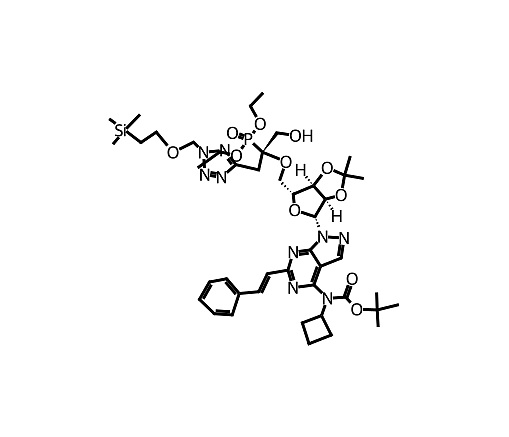 CCOP(=O)(OCC)[C@@](CO)(Cc1nnn(COCC[Si](C)(C)C)n1)OC[C@H]1O[C@@H](n2ncc3c(N(C(=O)OC(C)(C)C)C4CCC4)nc(/C=C/c4ccccc4)nc32)[C@@H]2OC(C)(C)O[C@@H]21